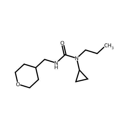 CCCN(C(=O)NCC1CCOCC1)C1CC1